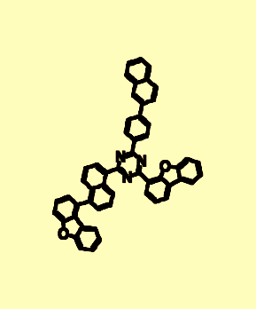 c1ccc2cc(-c3ccc(-c4nc(-c5cccc6c(-c7cccc8oc9ccccc9c78)cccc56)nc(-c5cccc6c5oc5ccccc56)n4)cc3)ccc2c1